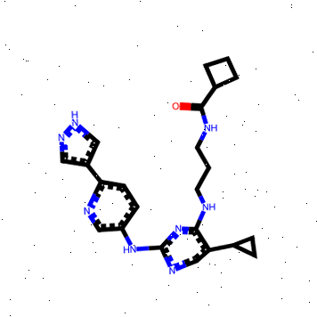 O=C(NCCCNc1nc(Nc2ccc(-c3cn[nH]c3)nc2)ncc1C1CC1)C1CCC1